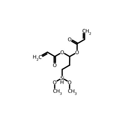 C=CC(=O)OC(CC[SiH](OC)OC)OC(=O)C=C